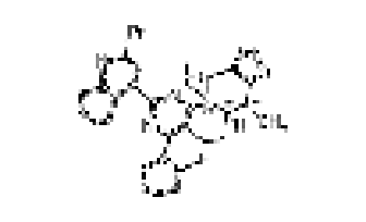 CC(C)c1cc(-c2nc(-c3ccccc3F)c3c(n2)[C@]2(C)Cc4cnoc4[C@H](C)[C@H]2CC3)c2ccccc2n1